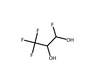 OC(F)C(O)C(F)(F)F